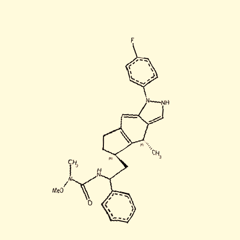 CON(C)C(=O)NC(C[C@H]1CCC2=C1[C@@H](C)C1=CNN(c3ccc(F)cc3)C1=C2)c1ccccc1